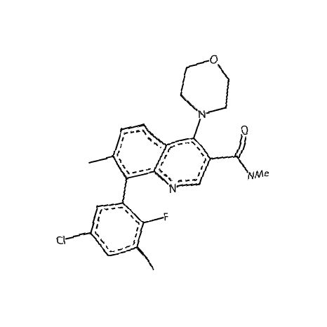 CNC(=O)c1cnc2c(-c3cc(Cl)cc(C)c3F)c(C)ccc2c1N1CCOCC1